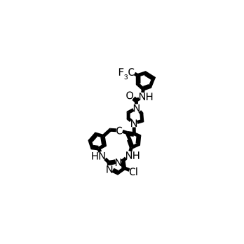 O=C(Nc1cccc(C(F)(F)F)c1)N1CCN(c2ccc3cc2CCc2cccc(c2)Nc2ncc(Cl)c(n2)N3)CC1